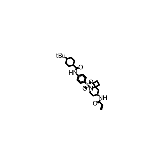 C=CC(=O)NC1CCN(S(=O)(=O)c2ccc(NC(=O)C3CCC(C(C)(C)C)CC3)cc2)C2(CCC2)C1